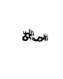 Cn1cnc2c1C(=O)c1ccccc1/C2=N/OCc1ccc([N+](=O)[O-])cc1